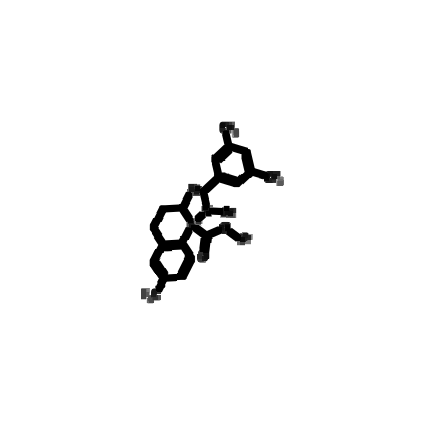 CCC1CCc2cc(C(F)(F)F)ccc2[N+]1(C(=O)OC(C)C)N(Cc1cc(C(F)(F)F)cc(C(F)(F)F)c1)C(C)=O